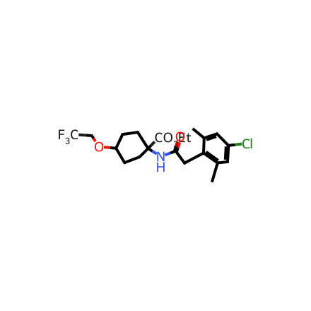 CCOC(=O)C1(NC(=O)Cc2c(C)cc(Cl)cc2C)CCC(OCC(F)(F)F)CC1